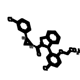 O=C(O)COc1ccc(Cl)cc1C1c2ccccc2CN1C(=O)[C@@H]1C[C@H]1c1cccc(Cl)c1